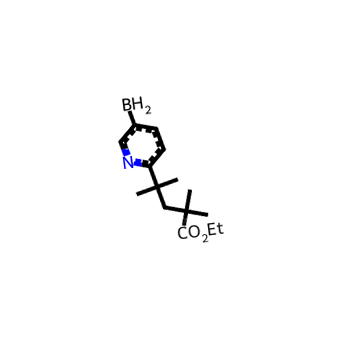 Bc1ccc(C(C)(C)CC(C)(C)C(=O)OCC)nc1